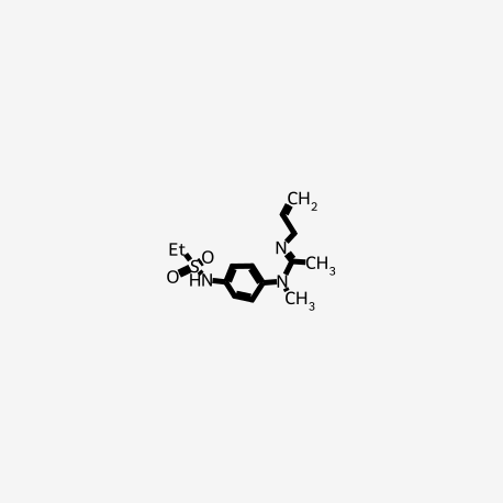 C=CCN=C(C)N(C)c1ccc(NS(=O)(=O)CC)cc1